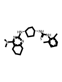 Cc1cccc(C)c1NC(=S)N[C@H]1CC[C@@H](Nc2nc3c(c(N(C)C)n2)CCCC3)CC1